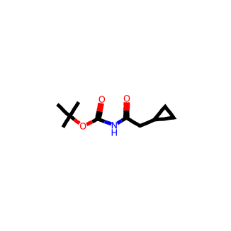 CC(C)(C)OC(=O)NC(=O)CC1CC1